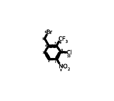 O=[N+]([O-])c1ccc(CBr)c(C(F)(F)F)c1Cl